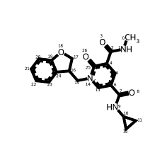 CNC(=O)c1cc(C(=O)NC2CC2)cn(CC2COc3ccccc32)c1=O